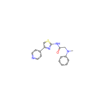 CN(CC(=O)Nc1nc(-c2ccncc2)cs1)c1ccccc1